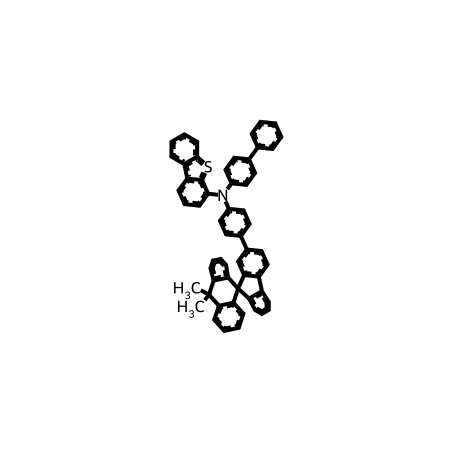 CC1(C)c2ccccc2C2(c3ccccc3-c3ccc(-c4ccc(N(c5ccc(-c6ccccc6)cc5)c5cccc6c5sc5ccccc56)cc4)cc32)c2ccccc21